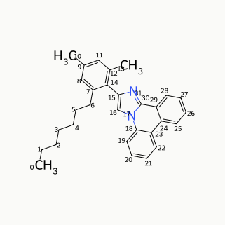 CCCCCCCc1cc(C)cc(C)c1-c1cn2c3ccccc3c3ccccc3c2n1